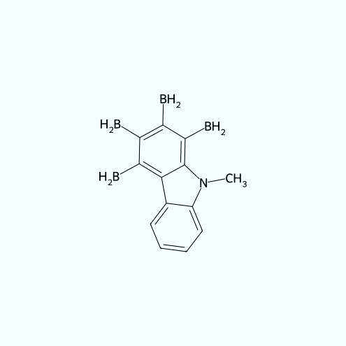 Bc1c(B)c(B)c2c(c1B)c1ccccc1n2C